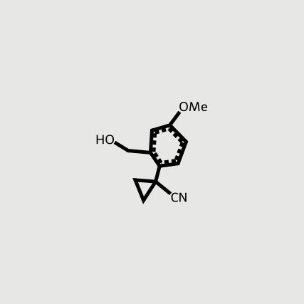 COc1ccc(C2(C#N)CC2)c(CO)c1